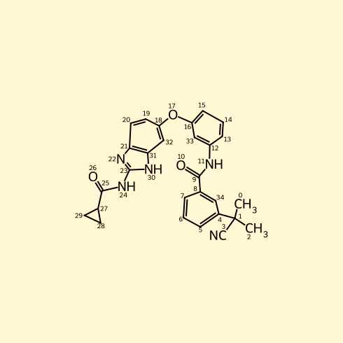 CC(C)(C#N)c1cccc(C(=O)Nc2cccc(Oc3ccc4nc(NC(=O)C5CC5)[nH]c4c3)c2)c1